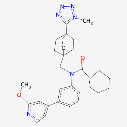 COc1cc(-c2cccc(N(CC34CCC(c5nnnn5C)(CC3)CC4)C(=O)C3CCCCC3)c2)ccn1